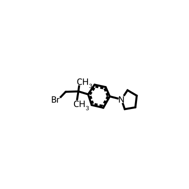 CC(C)(CBr)c1ccc(N2CCCC2)cc1